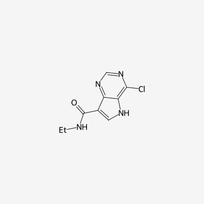 CCNC(=O)c1c[nH]c2c(Cl)ncnc12